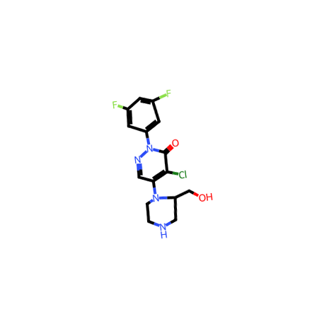 O=c1c(Cl)c(N2CCNCC2CO)cnn1-c1cc(F)cc(F)c1